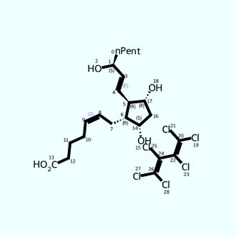 CCCCC[C@H](O)/C=C/[C@@H]1[C@@H](C/C=C\CCCC(=O)O)[C@@H](O)C[C@H]1O.ClC(Cl)=C(Cl)C(Cl)=C(Cl)Cl